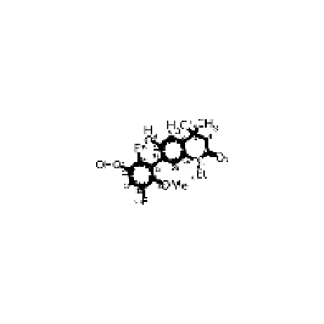 CCN1C(=O)CC(C)(C)c2cc(C)c(-c3c(F)c(C=O)cc(F)c3OC)cc21